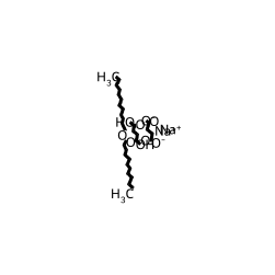 CCCCCCCCCCCCOCCCCCCCCCCCC.O=C(O)CCC(=O)O.O=C([O-])CCC(=O)[O-].[Na+].[Na+]